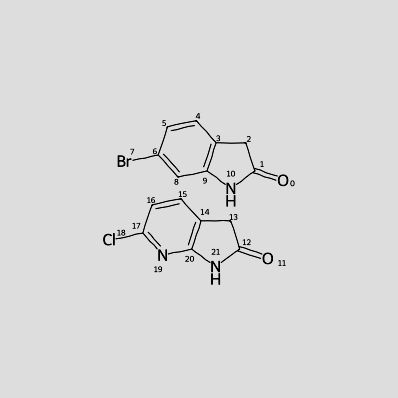 O=C1Cc2ccc(Br)cc2N1.O=C1Cc2ccc(Cl)nc2N1